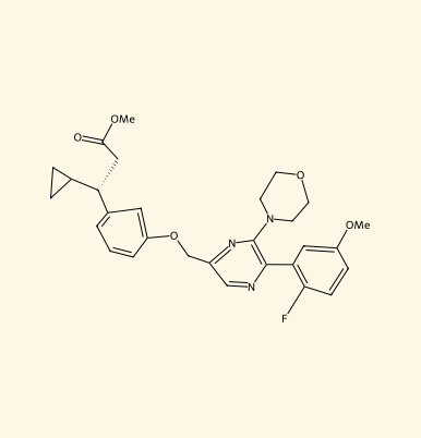 COC(=O)C[C@H](c1cccc(OCc2cnc(-c3cc(OC)ccc3F)c(N3CCOCC3)n2)c1)C1CC1